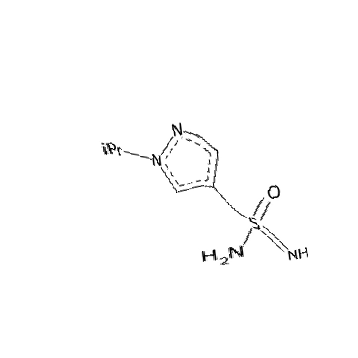 CC(C)n1cc(S(=N)(N)=O)cn1